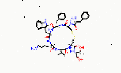 CC(C)[C@@H]1NC(=O)[C@H](CCCCN)NC(=O)[C@@H](Cc2c[nH]c3ccccc23)NC(=O)[C@H](Cc2ccccc2)NC(=O)[C@@H](NC(=O)[C@H](N)Cc2ccccc2)CSSC[C@@H](C(=O)N[C@H](CO)[C@@H](C)O)NC1=O